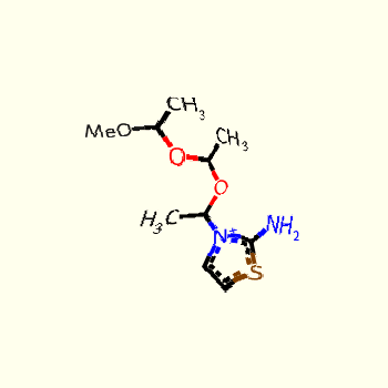 COC(C)OC(C)OC(C)[n+]1ccsc1N